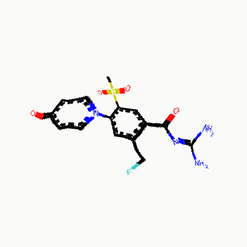 CS(=O)(=O)c1cc(C(=O)N=C(N)N)c(CF)cc1-n1ccc(=O)cc1